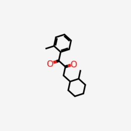 Cc1ccccc1C(=O)C(=O)CC1CCCCC1C